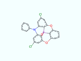 O=P12c3c4cccc3Oc3cc(Cl)cc(c31)N(c1ccccc1)c1cc(Cl)cc(c12)O4